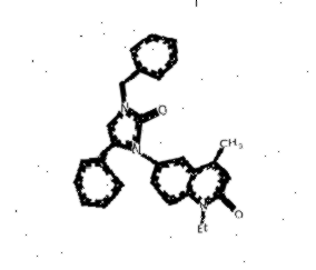 CCn1c(=O)cc(C)c2cc(-n3c(-c4ccccc4)cn(Cc4ccccc4)c3=O)ccc21